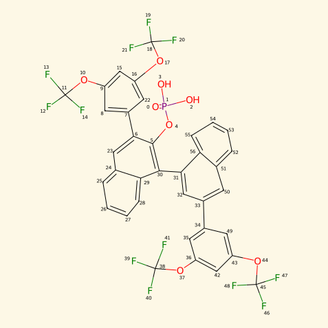 O=P(O)(O)Oc1c(-c2cc(OC(F)(F)F)cc(OC(F)(F)F)c2)cc2ccccc2c1-c1cc(-c2cc(OC(F)(F)F)cc(OC(F)(F)F)c2)cc2ccccc12